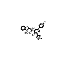 Cn1cc(-n2nc(-c3ccc(Cl)cc3)cc(C(=O)NC3Cc4ccccc4C3O)c2=O)cn1